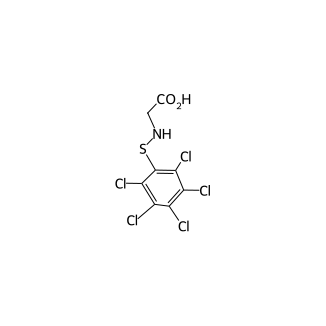 O=C(O)CNSc1c(Cl)c(Cl)c(Cl)c(Cl)c1Cl